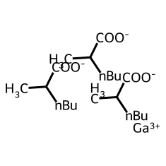 CCCCC(C)C(=O)[O-].CCCCC(C)C(=O)[O-].CCCCC(C)C(=O)[O-].[Ga+3]